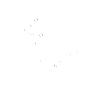 CC(C)n1nc(C(=O)O)c2ccc(C3(O)CCC(OCc4c(-c5c(Cl)cccc5Cl)noc4C4CC4)CC3)cc21